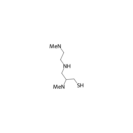 CNCCNCC(CS)NC